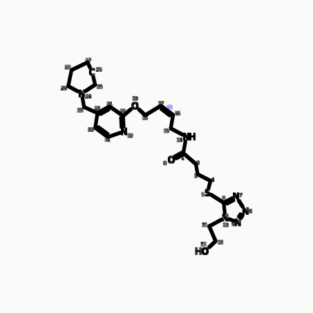 O=C(CCCSc1nnnn1CCO)NC/C=C\COc1cc(CN2CCCCC2)ccn1